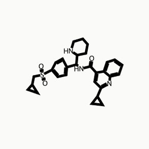 O=C(NC(c1ccc(S(=O)(=O)CC2CC2)cc1)C1CCCCN1)c1cc(C2CC2)nc2ccccc12